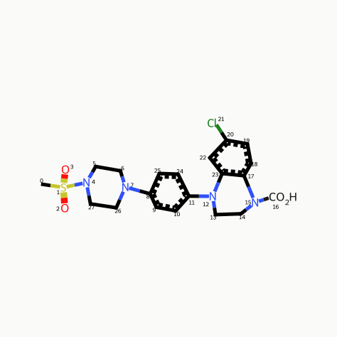 CS(=O)(=O)N1CCN(c2ccc(N3CCN(C(=O)O)c4ccc(Cl)cc43)cc2)CC1